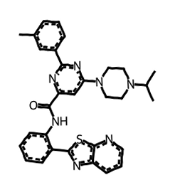 Cc1cccc(-c2nc(C(=O)Nc3ccccc3-c3nc4cccnc4s3)cc(N3CCN(C(C)C)CC3)n2)c1